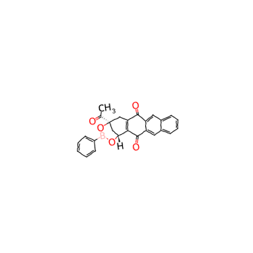 CC(=O)[C@]12CC3=C(C(=O)c4cc5ccccc5cc4C3=O)[C@@H](C1)OB(c1ccccc1)O2